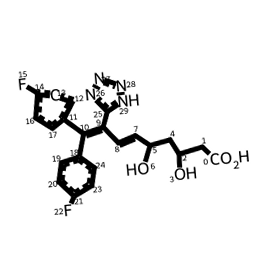 O=C(O)CC(O)CC(O)/C=C/C(=C(c1ccc(F)cc1)c1ccc(F)cc1)c1nnn[nH]1